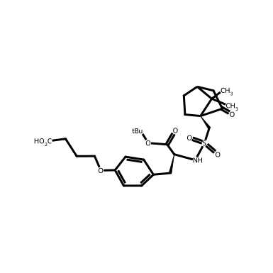 CC(C)(C)OC(=O)[C@H](Cc1ccc(OCCCC(=O)O)cc1)NS(=O)(=O)C[C@]12CCC(CC1=O)C2(C)C